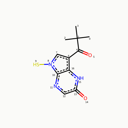 CC(C)(C)C(=O)c1cn(S)c2ncc(=O)[nH]c12